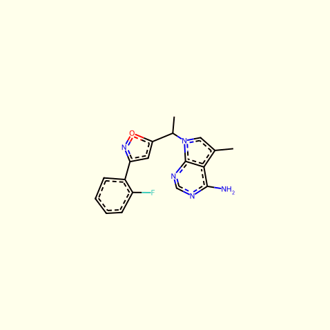 Cc1cn(C(C)c2cc(-c3ccccc3F)no2)c2ncnc(N)c12